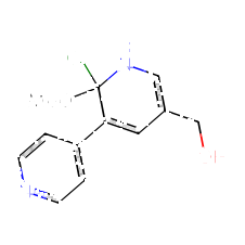 COC1(Cl)NC=C(CO)C=C1c1ccncc1